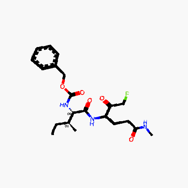 CC[C@H](C)[C@H](NC(=O)OCc1ccccc1)C(=O)NC(CCC(=O)NC)C(=O)CF